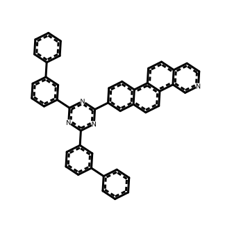 c1ccc(-c2cccc(-c3nc(-c4cccc(-c5ccccc5)c4)nc(-c4ccc5c(ccc6c7cnccc7ccc56)c4)n3)c2)cc1